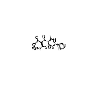 CSC(SC)=C(C(=O)c1ccc(-n2cncn2)nc1C)C(=O)C1CC1